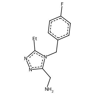 CCc1nnc(CN)n1Cc1ccc(F)cc1